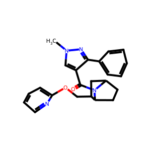 Cn1cc(C(=O)N2C3CCC2C(COc2ccccn2)C3)c(-c2ccccc2)n1